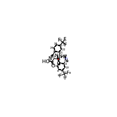 N#Cc1ccc(C(F)(F)F)cc1/N=N\N(C(=O)CC(=O)O)c1cc(C(F)(F)F)ccc1C#N